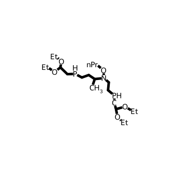 CCCON(CCPCC(OCC)OCC)C(C)CCPCC(OCC)OCC